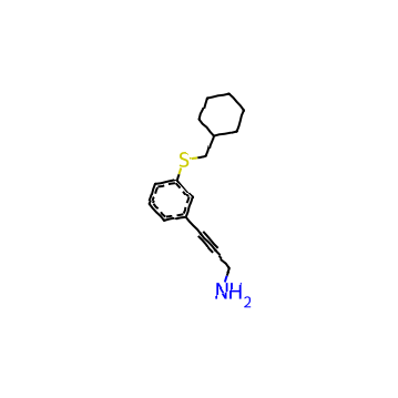 NCC#Cc1cccc(SCC2CCCCC2)c1